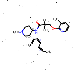 C=C(/C=C\C=C/C)[C@@H]1CN(C)CC[C@H]1NC(=O)C(C)(C)COc1ncccc1C(F)(F)F